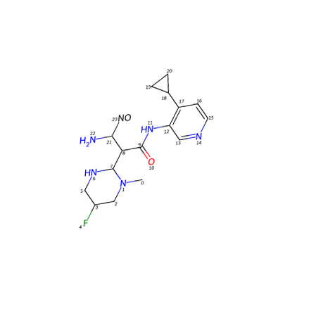 CN1CC(F)CNC1C(C(=O)Nc1cnccc1C1CC1)C(N)N=O